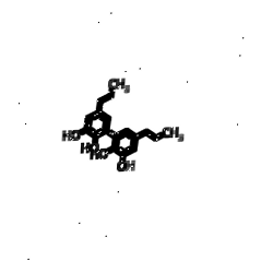 CCCc1cc(O)c(O)c(-c2cc(CCC)cc(O)c2O)c1